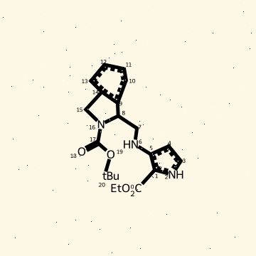 CCOC(=O)c1[nH]ccc1NCC1c2ccccc2CN1C(=O)OC(C)(C)C